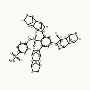 O=S(=O)(O)c1ccc(OS(=O)(=O)c2c(C3CC4CC3C3C5CCC(C5)C43)cc(C3CC4C[C@H]3C3C5CCC(C5)C43)cc2C2CC3CC2C2C4CCC(C4)C32)cc1